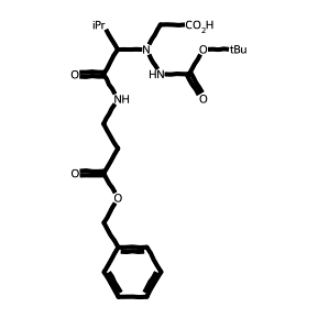 CC(C)C(C(=O)NCCC(=O)OCc1ccccc1)N(CC(=O)O)NC(=O)OC(C)(C)C